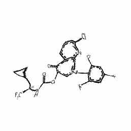 O=C(N[C@H](C1CC1)C(F)(F)F)Oc1cn(-c2c(F)cc(F)cc2Cl)c2nc(Cl)ccc2c1=O